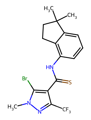 Cn1nc(C(F)(F)F)c(C(=S)Nc2cccc3c2CCC3(C)C)c1Br